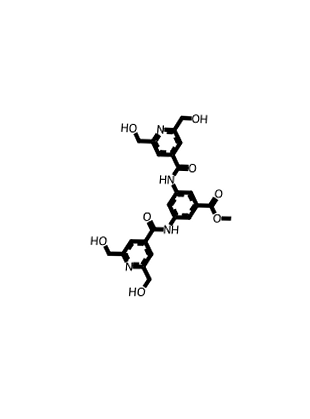 COC(=O)c1cc(NC(=O)c2cc(CO)nc(CO)c2)cc(NC(=O)c2cc(CO)nc(CO)c2)c1